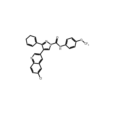 O=C(Nc1ccc(OC(F)(F)F)cc1)n1cc(-c2cnc3ccc(Cl)cc3c2)c(C2=CCCC=C2)n1